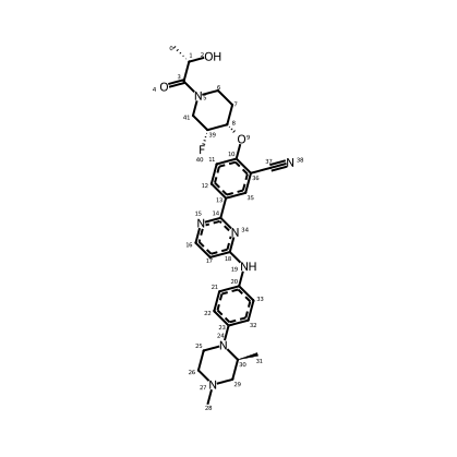 C[C@H](O)C(=O)N1CC[C@H](Oc2ccc(-c3nccc(Nc4ccc(N5CCN(C)C[C@@H]5C)cc4)n3)cc2C#N)[C@H](F)C1